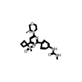 CNC(=O)Nc1ccc(-c2nc(N3CCOC[C@@H]3C)cc(C3(S(C)(=O)=O)CCC3)n2)cc1